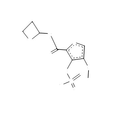 COc1csc(C(=O)OC2CCO2)c1OS(=O)(=O)Cl